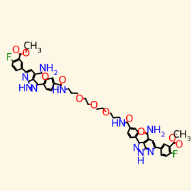 COC(=O)c1cc(-c2cc(C(N)=O)c3c(-c4ccc(C(=O)NCCCOCCOCCOCCCNC(=O)c5ccc(-c6n[nH]c7nc(-c8ccc(F)c(C(=O)OC)c8)cc(C(N)=O)c67)cc5)cc4)n[nH]c3n2)ccc1F